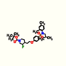 Cc1ccc(N(CC(C)C)S(=O)(=O)c2ccc(OCCC3CCN(C(=O)OC(C)(C)C)CC3F)cc2)c(C)c1